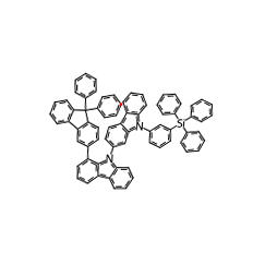 c1ccc(C2(c3ccccc3)c3ccccc3-c3cc(-c4cccc5c6ccccc6n(-c6ccc7c8ccccc8n(-c8cccc([Si](c9ccccc9)(c9ccccc9)c9ccccc9)c8)c7c6)c45)ccc32)cc1